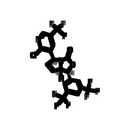 O=C1O[C@H](c2cc(C(F)(F)F)cc(C(F)(F)F)c2)[C@@H]2C=C[C@@H](c3cc(C(F)(F)F)cnc3Cl)N12